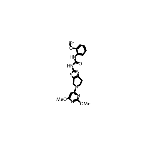 COc1cc(N2CCc3nc(NC(=O)Nc4ccccc4OC(C)C)sc3C2)nc(OC)n1